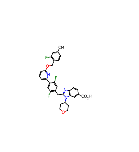 N#Cc1ccc(COc2cccc(-c3cc(F)c(Cc4nc5ccc(C(=O)O)cc5n4C4CCOCC4)cc3F)n2)c(F)c1